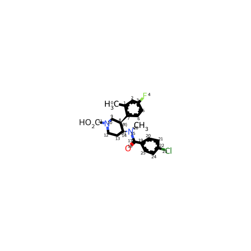 Cc1cc(F)ccc1[C@@H]1CN(C(=O)O)CC[C@H]1N(C)C(=O)c1ccc(Cl)cc1